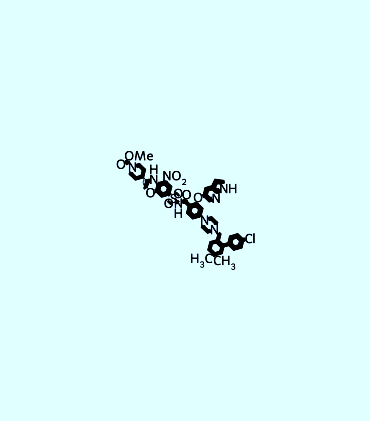 COC(=O)N1CCC([C@H]2COc3cc(S(=O)(=O)NC(=O)c4ccc(N5CCN(CC6=C(c7ccc(Cl)cc7)CC(C)(C)CC6)CC5)cc4Oc4cnc5[nH]ccc5c4)cc([N+](=O)[O-])c3N2)CC1